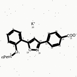 CCCCCOc1ccccc1-c1cc(-c2ccc(C(=O)[O-])cc2)no1.[K+]